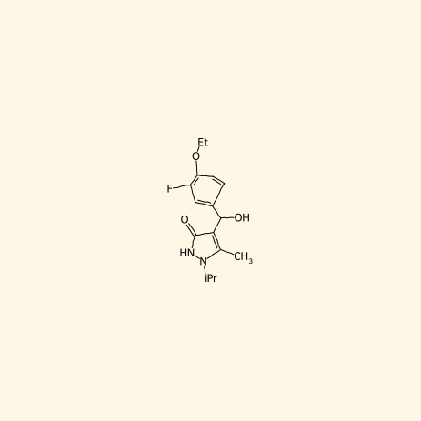 CCOc1ccc(C(O)c2c(C)n(C(C)C)[nH]c2=O)cc1F